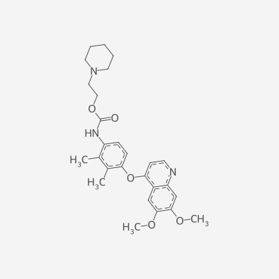 COc1cc2nccc(Oc3ccc(NC(=O)OCCN4CCCCC4)c(C)c3C)c2cc1OC